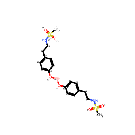 CS(=O)(=O)NCCc1ccc(OBOc2ccc(CCNS(C)(=O)=O)cc2)cc1